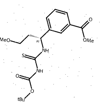 COCC[C@@H](NC(=S)NC(=O)OC(C)(C)C)c1cccc(C(=O)OC)c1